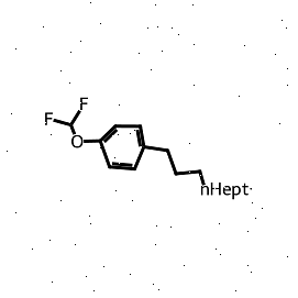 CCCCCC[CH]CCCc1ccc(OC(F)F)cc1